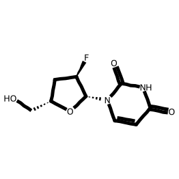 O=c1ccn([C@@H]2O[C@H](CO)C[C@H]2F)c(=O)[nH]1